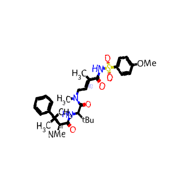 CN[C@H](C(=O)NC(C(=O)N(C)C/C=C(\C)C(=O)NS(=O)(=O)c1ccc(OC)cc1)C(C)(C)C)C(C)(C)c1ccccc1